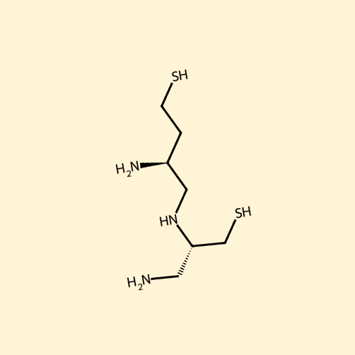 NC[C@@H](CS)NC[C@@H](N)CCS